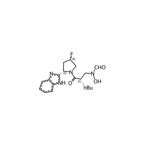 CCCC[C@@H](CN(O)C=O)C(=O)N1C[C@H](F)C[C@H]1c1nc2ccccc2[nH]1